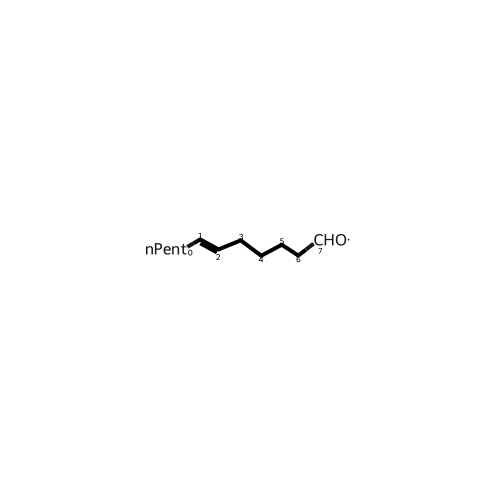 CCCCCC=CCCCC[C]=O